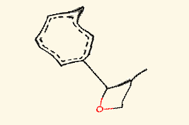 CC1COC1c1ccccc1